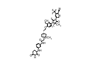 CCc1cc(N2C(=S)N(c3cnc(C#N)c(C(F)(F)F)c3)C(=O)C2(C)C)ccc1OCC[C@H]1CCN(CC(=O)Nc2cccc(NC3CCC(=O)NC3=O)c2)[C@H](C)C1